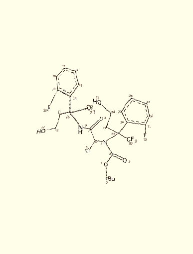 CC(C)(C)OC(=O)N(C(Cl)C(=O)NC(CCO)(c1ccccc1F)C(F)(F)F)C(CCO)(c1ccccc1F)C(F)(F)F